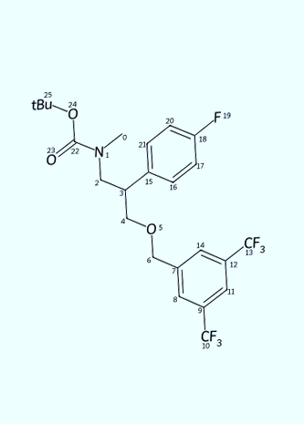 CN(CC(COCc1cc(C(F)(F)F)cc(C(F)(F)F)c1)c1ccc(F)cc1)C(=O)OC(C)(C)C